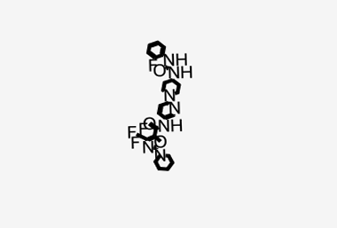 O=C(Nc1ccccc1F)NC1CCN(c2ccc(NC(=O)c3oc(N4CCCCC4)nc3C(F)(F)F)cn2)CC1